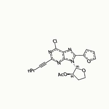 CCCC#Cc1nc(Cl)c2nc(-c3ccco3)n([C@@H]3OCC[C@H]3OC(C)=O)c2n1